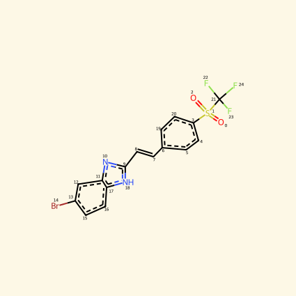 O=S(=O)(c1ccc(/C=C/c2nc3cc(Br)ccc3[nH]2)cc1)C(F)(F)F